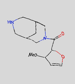 COC1C=COC1C(=O)N1CC2CNCC(C2)C1